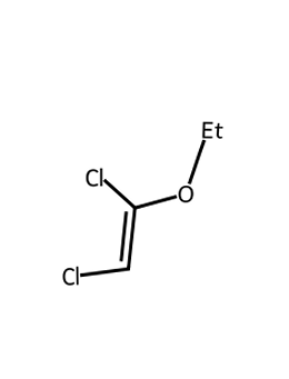 CCOC(Cl)=CCl